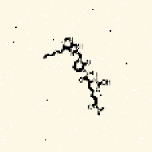 CCCCCc1ncnc2[nH]c(Cn3cccc(NC(=O)C(CCC=CC(=O)N(C)C)NC(=O)O)c3=O)nc12